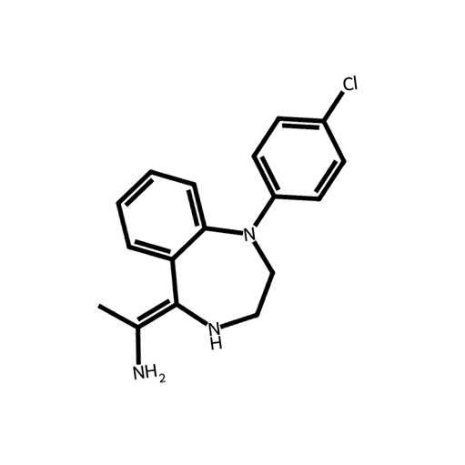 C/C(N)=C1/NCCN(c2ccc(Cl)cc2)c2ccccc21